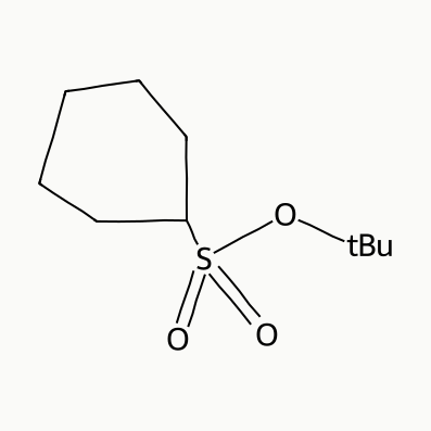 CC(C)(C)OS(=O)(=O)C1CCCCC1